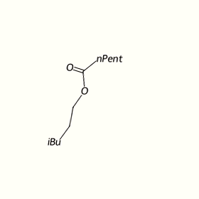 CCCCCC(=O)OCCC(C)CC